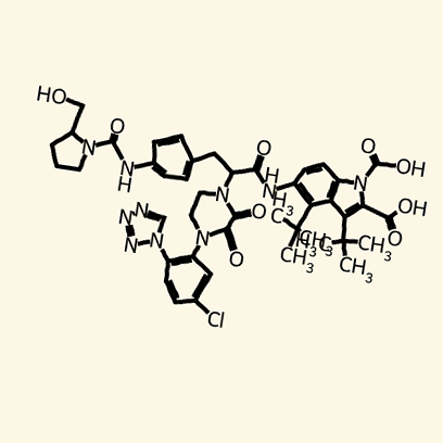 CC(C)(C)c1c(NC(=O)C(Cc2ccc(NC(=O)N3CCCC3CO)cc2)N2CCN(c3cc(Cl)ccc3-n3cnnn3)C(=O)C2=O)ccc2c1c(C(C)(C)C)c(C(=O)O)n2C(=O)O